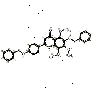 COc1c(OCc2ccccc2)c(OC)c2c(=O)cc(-c3ccc(OCc4ccccc4)cc3)oc2c1OC